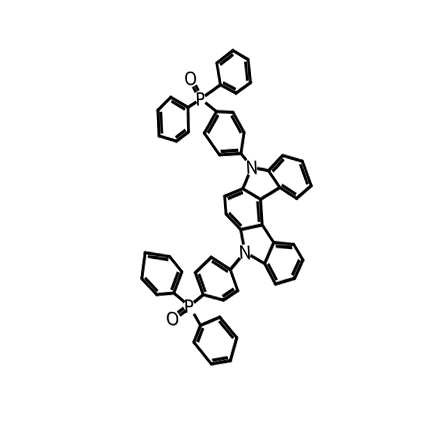 O=P(c1ccccc1)(c1ccccc1)c1ccc(-n2c3ccccc3c3c4c5ccccc5n(-c5ccc(P(=O)(c6ccccc6)c6ccccc6)cc5)c4ccc32)cc1